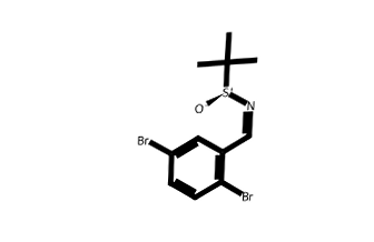 CC(C)(C)[S@+]([O-])/N=C\c1cc(Br)ccc1Br